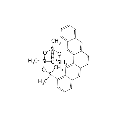 C[SiH](O[SiH3])O[Si](C)(C)O[Si](C)(C)c1cccc2cc3ccc4cc5ccccc5cc4c3cc12